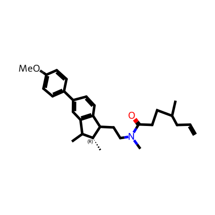 C=CCC(C)CCC(=O)N(C)CCC1c2ccc(-c3ccc(OC)cc3)cc2C(C)[C@H]1C